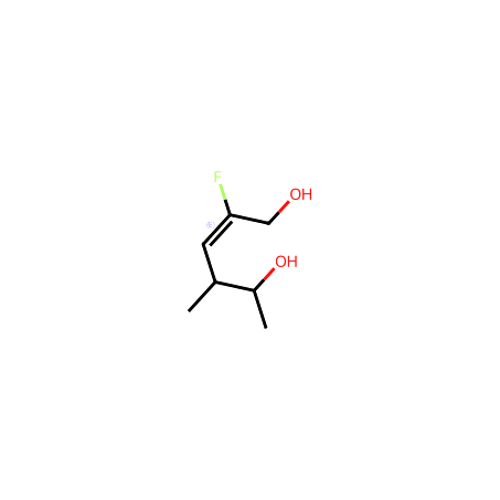 CC(O)C(C)/C=C(/F)CO